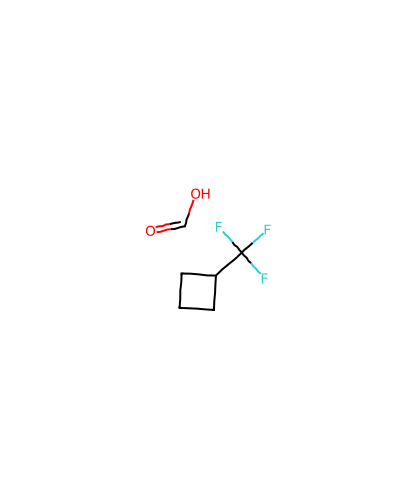 FC(F)(F)C1CCC1.O=CO